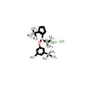 Cc1cc([O][Ti]([C]2=C([Si](C)(C)C)C=CC2)[SiH](C)C)cc([Si](C)(C)C)c1.Cl.Cl